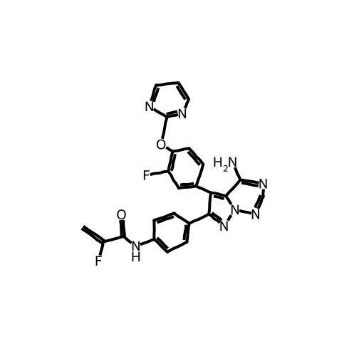 C=C(F)C(=O)Nc1ccc(-c2nn3ncnc(N)c3c2-c2ccc(Oc3ncccn3)c(F)c2)cc1